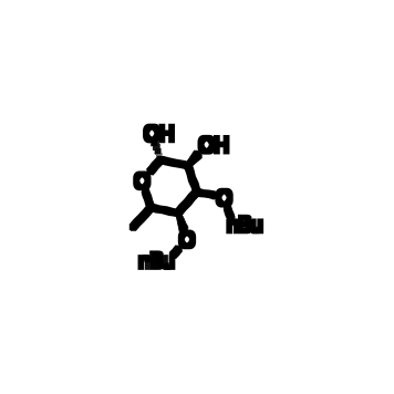 CCCCOC1[C@@H](OCCCC)C(C)O[C@H](O)[C@H]1O